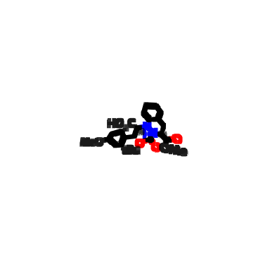 COC(=O)[C@H](Cc1ccccc1)N(N[C@@H](Cc1ccc(OC)cc1)C(=O)O)C(=O)OC(C)(C)C